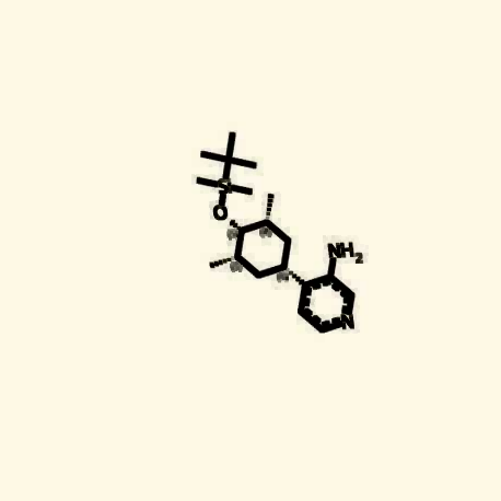 C[C@@H]1C[C@H](c2ccncc2N)C[C@H](C)[C@@H]1O[Si](C)(C)C(C)(C)C